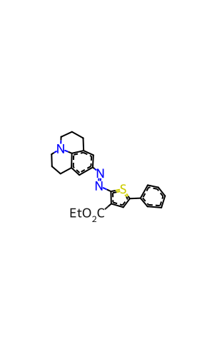 CCOC(=O)c1cc(-c2ccccc2)sc1N=Nc1cc2c3c(c1)CCCN3CCC2